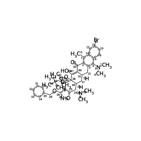 Cc1c2c(c(N(C)C)c3ccc(Br)cc13)C[C@H]1C[C@H]3[C@H](N(C)C)c4onc(OCc5ccccc5)c4C(=O)C3(O[Si](C)(C)C(C)(C)C)C(O)=C1C2=O